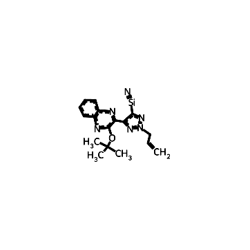 C=CCn1nc([Si]#N)c(-c2nc3ccccc3nc2OC(C)(C)C)n1